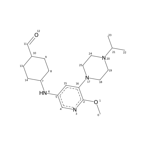 COc1ncc(NC2CCC(C=O)CC2)cc1N1CCN(C(C)C)CC1